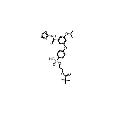 CC(C)Oc1cc(Oc2ccc(P(=O)(O)OCCOC(=O)C(C)(C)C)cc2)cc(C(=O)Nc2nccs2)c1